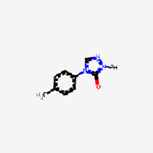 [2H]n1ncn(-c2ccc(C)cc2)c1=O